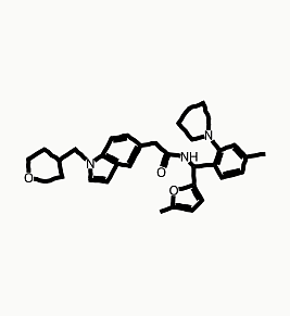 Cc1ccc(C(NC(=O)Cc2ccc3c(ccn3CC3CCOCC3)c2)c2ccc(C)o2)c(N2CCCCC2)c1